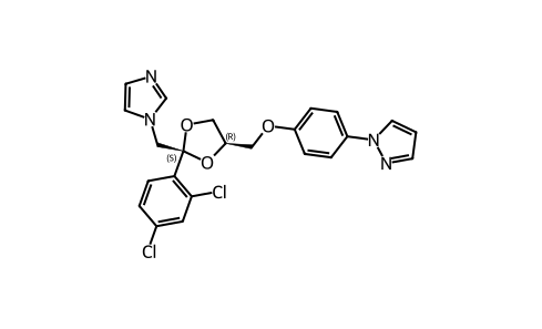 Clc1ccc([C@]2(Cn3ccnc3)OC[C@@H](COc3ccc(-n4cccn4)cc3)O2)c(Cl)c1